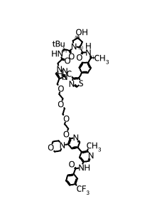 Cc1ncc(NC(=O)c2cccc(C(F)(F)F)c2)cc1-c1cnc(OCCOCCOCCOCc2cn(CC(=O)N[C@@H](C(=O)N3C[C@H](O)C[C@H]3C(=O)N[C@@H](C)c3ccc(-c4scnc4C)cc3)C(C)(C)C)nn2)c(N2CCOCC2)c1